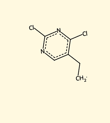 [CH2]Cc1cnc(Cl)nc1Cl